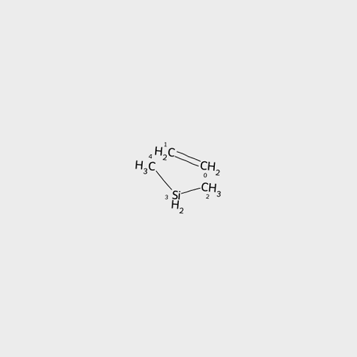 C=C.C[SiH2]C